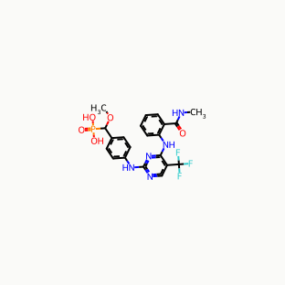 CNC(=O)c1ccccc1Nc1nc(Nc2ccc(C(OC)P(=O)(O)O)cc2)ncc1C(F)(F)F